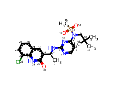 C[C@H](Nc1nccc(N(CC(C)(C)C)S(C)(=O)=O)n1)c1cc2cccc(Cl)c2[nH]c1=O